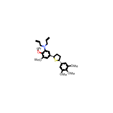 C=CCN(CC=C)c1cc([C@H]2CC[C@H](c3cc(OC)c(OC)c(OC)c3)S2)cc(OC)c1OCCC